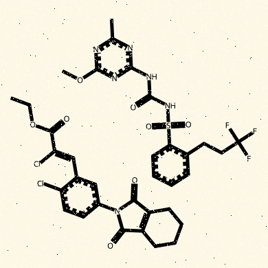 CCOC(=O)/C(Cl)=C/c1cc(N2C(=O)C3=C(CCCC3)C2=O)ccc1Cl.COc1nc(C)nc(NC(=O)NS(=O)(=O)c2ccccc2CCC(F)(F)F)n1